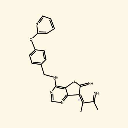 CC(=N)/C(C)=C1\C(=N)Sc2c(NCc3ccc(Oc4ccccn4)cc3)ncnc21